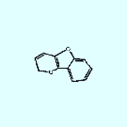 C1=Cc2oc3ccccc3c2OC1